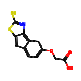 O=C(O)COC1=CC=C2C=c3sc(S)nc3=C2C1